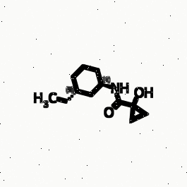 CC[C@@H]1CCC[C@@H](NC(=O)C2(O)CC2)C1